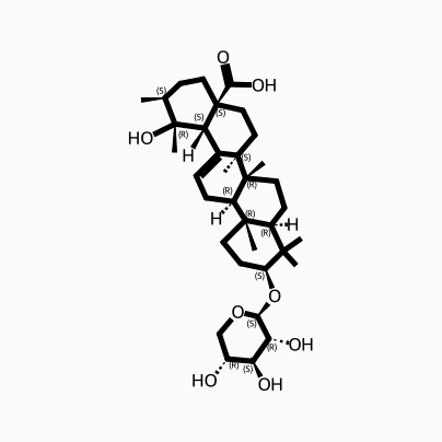 C[C@H]1CC[C@]2(C(=O)O)CC[C@]3(C)C(=CC[C@@H]4[C@@]5(C)CC[C@H](O[C@@H]6OC[C@@H](O)[C@H](O)[C@H]6O)C(C)(C)[C@@H]5CC[C@]43C)[C@@H]2[C@]1(C)O